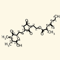 CCSC(=S)SC(C)C(=O)OCCN1C(=O)CC(SCCC(=O)N(C)[C@@H](C)C(=O)O)C1=O